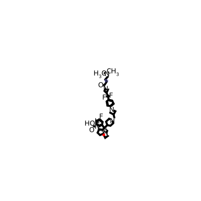 CN(C)C/C=C/C(=O)N1CC(C(F)(F)c2ccc(N3CC(CN4CCC([C@@](CN5CCC5)(c5cccc(F)c5)[C@H]5CCC[C@@H]5NC(=O)O)CC4)C3)cc2)C1